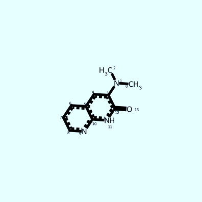 CN(C)c1cc2cccnc2[nH]c1=O